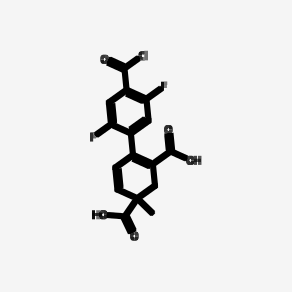 CC1(C(=O)O)C=CC(c2cc(F)c(C(=O)Cl)cc2F)=C(C(=O)O)C1